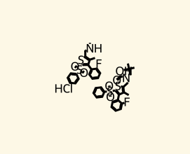 CNCc1sc(S(=O)(=O)c2ccccc2)c(-c2ccccc2F)c1C.Cc1c(CN(CC(C)(C)C)C(=O)O)sc(S(=O)(=O)c2ccccc2)c1-c1ccccc1F.Cl